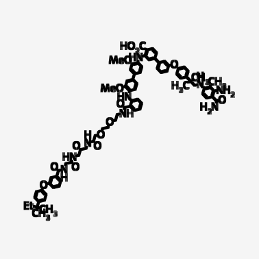 CCC(C)(C)c1ccc(Oc2cccc(C(=O)NCC(=O)NCC(=O)CNC(=O)COCCOCCNC(=O)c3ccccc3Nc3ccc(-c4ccc(Nc5cc(-c6cccc(Oc7ccc(C(C)(C)CNc8ccc(C(N)=O)c(N)c8C)cc7)c6)ccc5C(=O)O)c(OC)c4)cc3OC)c2)cc1